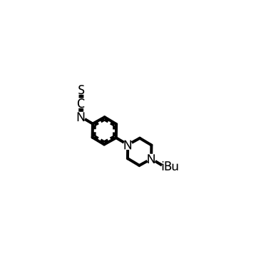 CCC(C)N1CCN(c2ccc(N=C=S)cc2)CC1